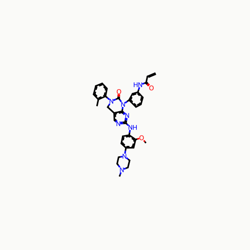 C=CC(=O)Nc1cccc(N2C(=O)N(c3ccccc3C)Cc3cnc(Nc4ccc(N5CCN(C)CC5)cc4OC)nc32)c1